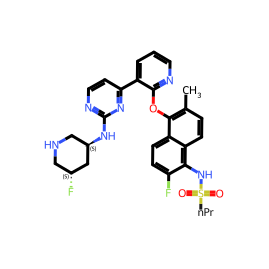 CCCS(=O)(=O)Nc1c(F)ccc2c(Oc3ncccc3-c3ccnc(N[C@@H]4CNC[C@@H](F)C4)n3)c(C)ccc12